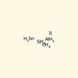 C.[AlH3].[SiH4].[SnH2].[Ti]